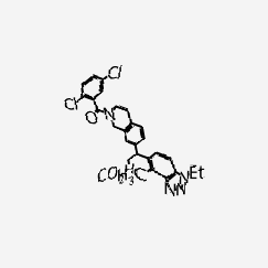 CCn1nnc2c(C)c(C(CC(=O)O)c3ccc4c(c3)CN(C(=O)c3cc(Cl)ccc3Cl)CC4)ccc21